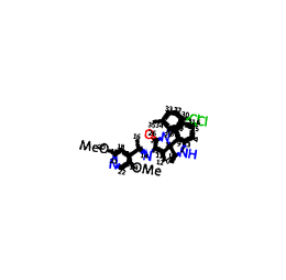 C=C1Nc2cc(Cl)ccc2C12C(C)=C(/N=C(\C)c1cc(OC)ncc1OC)C(=O)N2c1cc(Cl)ccc1C